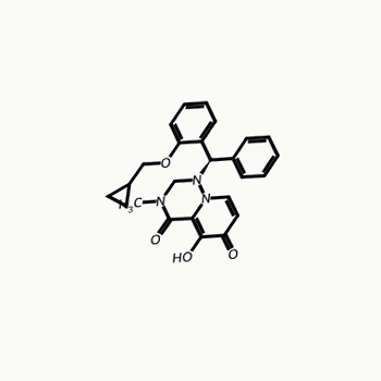 CN1CN([C@H](c2ccccc2)c2ccccc2OCC2CC2)n2ccc(=O)c(O)c2C1=O